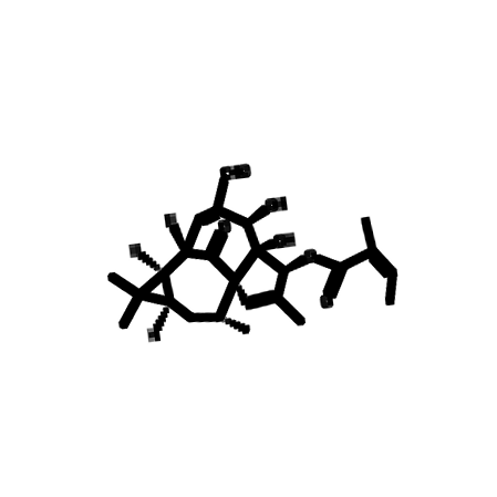 C/C=C(/C)C(=O)O[C@H]1C(C)=C[C@]23C(=O)[C@@H](C=C(C=O)[C@@H](O)[C@]12O)[C@H]1[C@@H](C[C@H]3C)C1(C)C